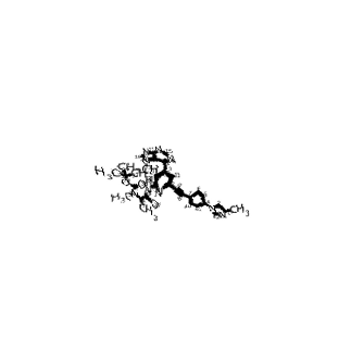 Cc1cn(-c2ccc(C#Cc3cc(-c4ncnc5ncn(C)c45)cc(NC(=O)C(C)N(C)C(=O)OC(C)(C)C)n3)cc2)cn1